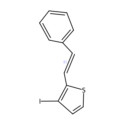 Ic1ccsc1/C=C/c1ccccc1